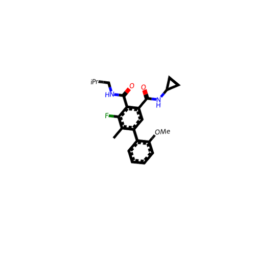 COc1ccccc1-c1cc(C(=O)NC2CC2)c(C(=O)NCC(C)C)c(F)c1C